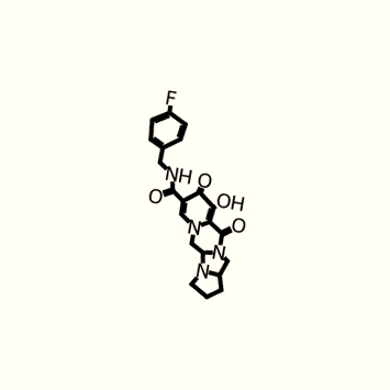 O=C(NCc1ccc(F)cc1)c1cn2c(c(O)c1=O)C(=O)N1CC3CCCN3C1C2